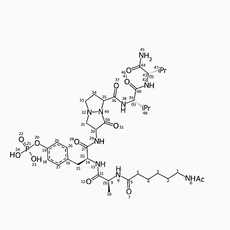 CC(=O)NCCCCCC(=O)N[C@@H](C)C(=O)N[C@@H](Cc1ccc(OP(=O)(O)O)cc1)C(=O)NC1CN2CCC(C(=O)N[C@H](C(=O)N[C@H](C(N)=O)C(C)C)C(C)C)N2C1=O